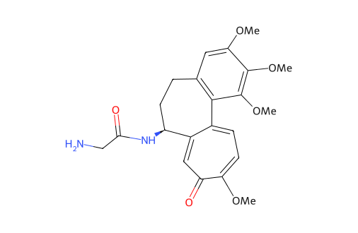 COc1cc2c(c(OC)c1OC)-c1ccc(OC)c(=O)cc1[C@@H](NC(=O)CN)CC2